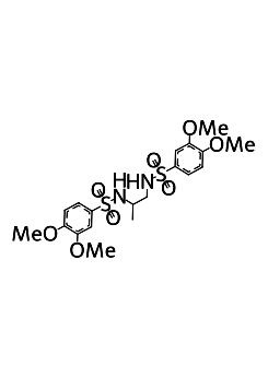 COc1ccc(S(=O)(=O)NCC(C)NS(=O)(=O)c2ccc(OC)c(OC)c2)cc1OC